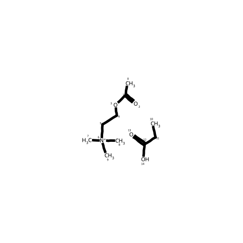 CC(=O)OCC[N+](C)(C)C.CCC(=O)O